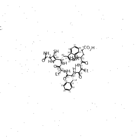 CC[C@H](NC(=O)[C@@H](N)CCC(=O)O)C(=O)N[C@H](Cc1ccccc1)C(=O)N[C@@H](CC)C(=O)N[C@@H](Cc1c[nH]c2ccccc12)C1=C(S)[C@@H](C(N)=O)N1